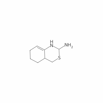 NC1NC2=CCCCC2CS1